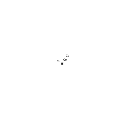 [Ce].[Co].[Cu].[Si]